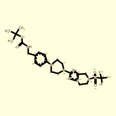 CC(C)(C)OC(=O)NCc1ccc(N2CCN(c3nc4n(n3)CCN(S(=O)(=O)C(F)(F)F)C4)CC2)cc1